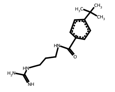 CC(C)(C)c1ccc(C(=O)NCCCNC(=N)N)cc1